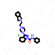 O=C(Nc1ccccc1)n1nc(N2CCN(CCN3Cc4ccccc4C3)CC2)c2c(F)cccc21